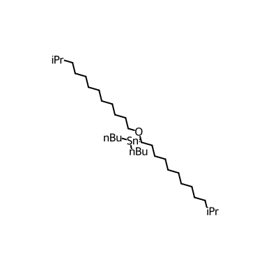 CC(C)CCCCCCCCCCOCCCCCCCCCCC(C)C.CCC[CH2][Sn][CH2]CCC